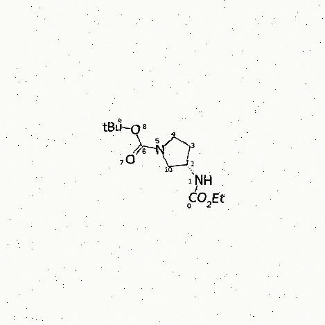 CCOC(=O)N[C@H]1CCN(C(=O)OC(C)(C)C)C1